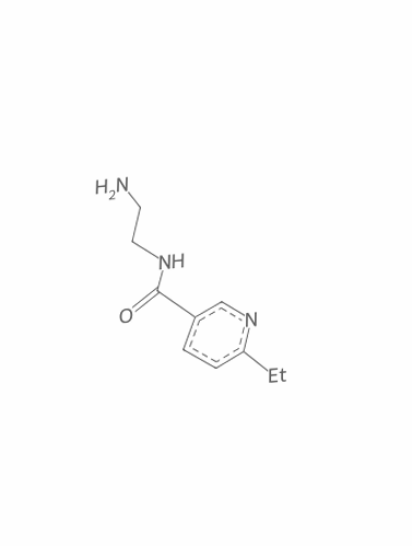 CCc1ccc(C(=O)NCCN)cn1